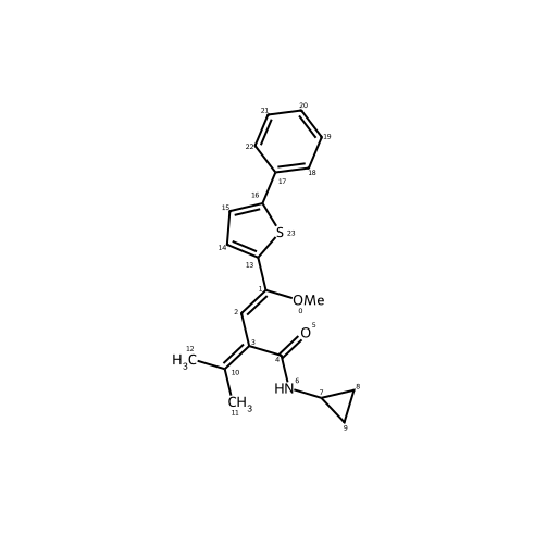 CO/C(=C\C(C(=O)NC1CC1)=C(C)C)c1ccc(-c2ccccc2)s1